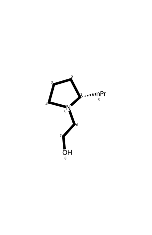 CCC[C@H]1CCCN1CCO